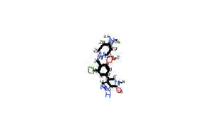 COc1cc(-c2cn(C)c(=O)c3[nH]ncc23)cc(Cl)c1CN1CCC(N(C)C)CC1